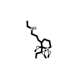 CCCC1(OC)C(CCCNCC)CCC[Si]1(OC)OC